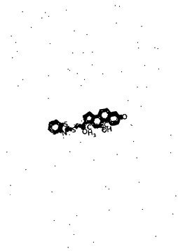 CC12C=CC(=O)C=C1CCC1C2[C@@H](O)CC2(C)C(C(=O)CSc3nc4c(s3)C=CCC4)CCC12